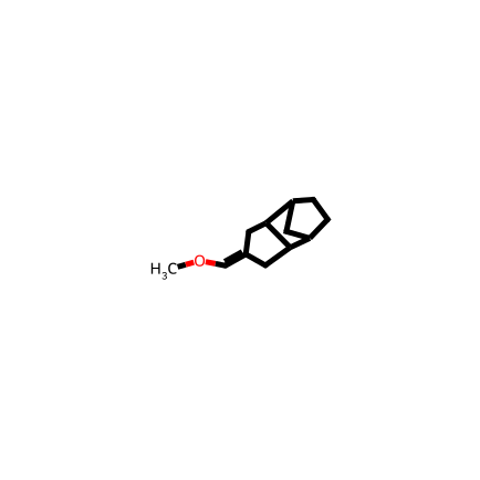 COC=C1CC2C3CCC(C3)C2C1